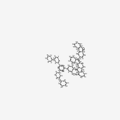 N#Cc1cc(-c2nc(-c3cccc(-c4ccccc4)c3)nc(-c3cccc(-c4ccccc4)c3)n2)ccc1-n1c2ccccc2c2ccc3c(c4ccccc4n3-c3ccc4oc5ccccc5c4c3)c21